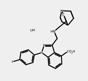 O=C(O)c1cccc2c1c(CNC1CN3CCC1CC3)nn2-c1ccc(F)cc1.[LiH]